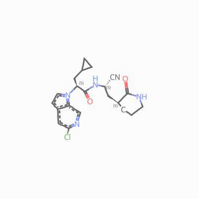 N#C[C@H](C[C@@H]1CCCNC1=O)NC(=O)[C@H](CC1CC1)n1ccc2cc(Cl)ncc21